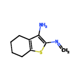 C=Nc1sc2c(c1N)CCCC2